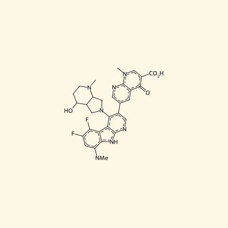 CNc1cc(F)c(F)c2c1[nH]c1ncc(-c3cnc4c(c3)c(=O)c(C(=O)O)cn4C)c(N3CC4C(O)CCN(C)C4C3)c12